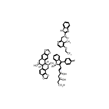 CC(C)n1c(/C=C/[C@@H](O)C[C@@H](O)CC(=O)O)c(-c2ccc(F)cc2)c2ccccc21.CN1Cc2c(ccc3c2OCO3)[C@@H]2[C@H]1c1cc3c(cc1C[C@@H]2O)OCO3.Cc1c(OCC(F)(F)F)ccnc1C[S+]([O-])c1nc2ccccc2[nH]1